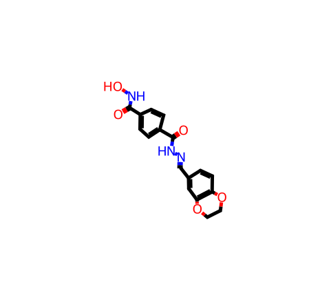 O=C(NO)c1ccc(C(=O)N/N=C/c2ccc3c(c2)OCCO3)cc1